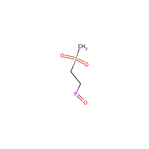 CS(=O)(=O)CCP=O